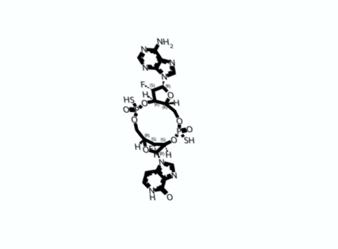 Nc1ncnc2c1ncn2[C@@H]1O[C@@H]2COP(=O)(S)O[C@@H]3[C@@H](F)[C@@H](COP(=O)(S)O[C@H]2[C@@H]1F)O[C@H]3n1cnc2c(=O)[nH]ccc21